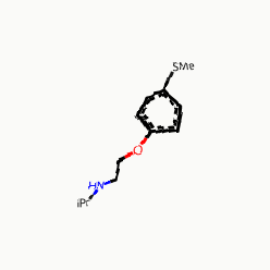 CSc1ccc(OCCNC(C)C)cc1